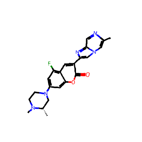 Cc1cn2cc(-c3cc4c(F)cc(N5CCN(C)[C@@H](C)C5)cc4oc3=O)nc2cn1